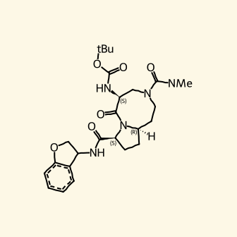 CNC(=O)N1CC[C@H]2CC[C@@H](C(=O)NC3COc4ccccc43)N2C(=O)[C@@H](NC(=O)OC(C)(C)C)C1